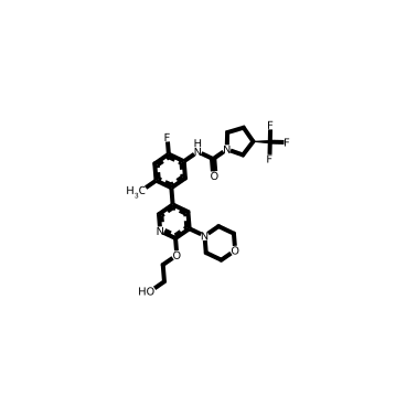 Cc1cc(F)c(NC(=O)N2CC[C@@H](C(F)(F)F)C2)cc1-c1cnc(OCCO)c(N2CCOCC2)c1